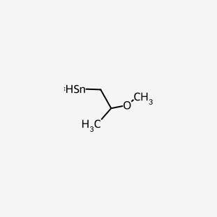 COC(C)[CH2][SnH]